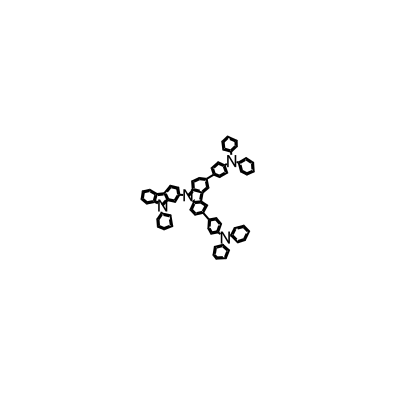 c1ccc(N(c2ccccc2)c2ccc(-c3ccc4c(c3)c3cc(-c5ccc(N(c6ccccc6)c6ccccc6)cc5)ccc3n4-c3ccc4c5ccccc5n(-c5ccccc5)c4c3)cc2)cc1